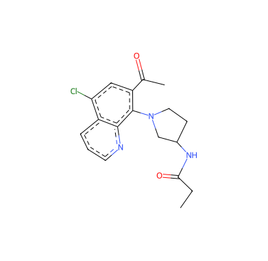 CCC(=O)NC1CCN(c2c(C(C)=O)cc(Cl)c3cccnc23)C1